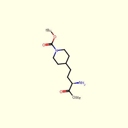 COC(=O)[C@H](N)CCC1CCN(C(=O)OC(C)(C)C)CC1